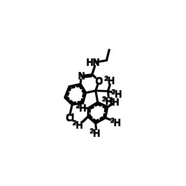 [2H]c1c([2H])c([2H])c(C2(C([2H])([2H])[2H])OC(NCC)=Nc3ccc(Cl)cc32)c([2H])c1[2H]